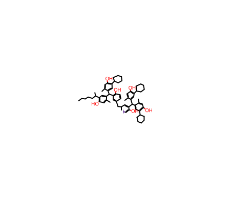 CCCCCC(C)c1cc(C(c2cc(C3CCCCC3)c(O)cc2C)c2cc(CC(C)/C=C(\C(O)=C/I)C(c3cc(C4CCCCC4)c(O)cc3C)c3cc(C4CCCCC4)c(O)cc3C)ccc2O)c(C)cc1O